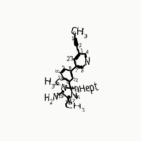 CC#Cc1cncc(-c2ccc(C)c(C3(CCCCCCC)N=C(C)C(N)=N3)c2)c1